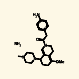 COC1=C2CCN(C(=O)Cc3ccc(N)cc3)C=C2C(N2CCN(C)CC2)CC1.N